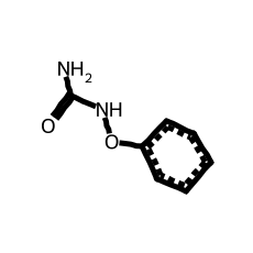 NC(=O)NOc1ccccc1